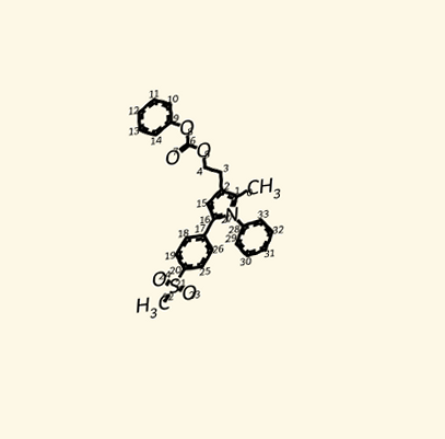 Cc1c(CCOC(=O)Oc2ccccc2)cc(-c2ccc(S(C)(=O)=O)cc2)n1-c1ccccc1